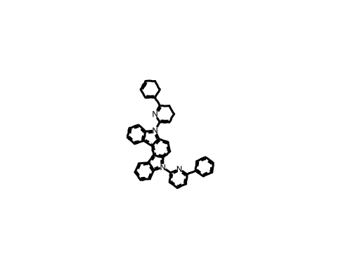 C1=CCCC(C2=NC(n3c4ccccc4c4c5c6ccccc6n(-c6cccc(-c7ccccc7)n6)c5ccc43)=CCC2)=C1